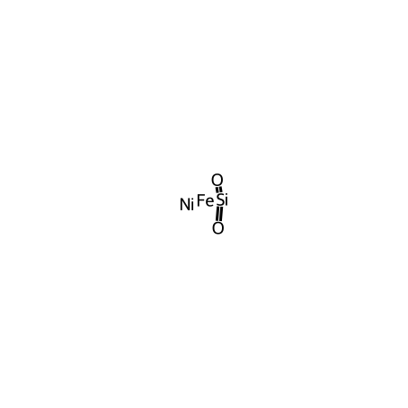 O=[Si]=O.[Fe].[Ni]